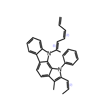 C=C/C=C\C=C(/C)n1c2ccccc2c2ccc3c(C)c(/C=C\C)n(-c4ccccc4)c3c21